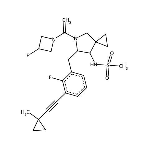 C=C(N1CC(F)C1)N1CC2(CC2)C(NS(C)(=O)=O)C1Cc1cccc(C#CC2(C)CC2)c1F